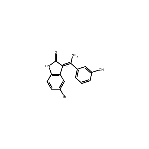 N/C(=C1\C(=O)Nc2ccc(Br)cc21)c1cccc(O)c1